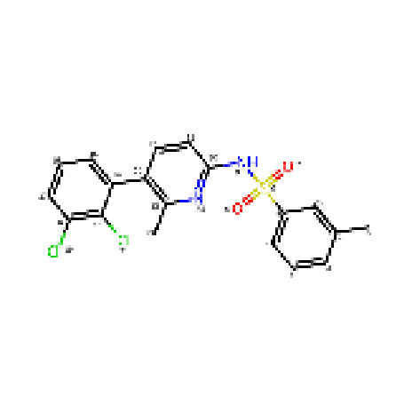 Cc1cccc(S(=O)(=O)Nc2ccc(-c3cccc(Cl)c3Cl)c(C)n2)c1